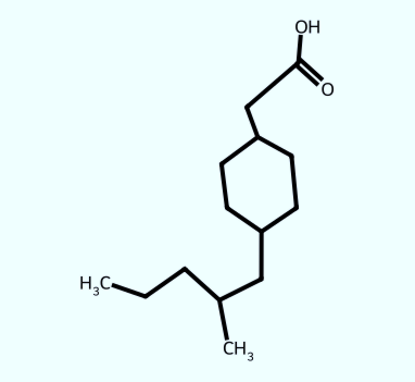 CCCC(C)CC1CCC(CC(=O)O)CC1